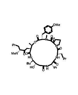 CC[C@H](C)[C@H]1NC(=O)[C@@H](CC(=O)[C@@H](CC(C)C)NC)[C@@H](C)OC(=O)[C@H](Cc2ccc(OC)cc2)N(C)C(=O)[C@@H]2CCCN2C(=O)[C@H](CC(C)C)NC(=O)[C@H](C(C)C)NC(=O)C[C@@H]1O